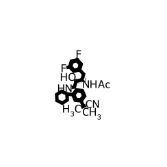 CC(=O)N[C@@H](Cc1cc(F)cc(F)c1)[C@H](O)CNC1(c2cccc(C(C)(C)C#N)c2)CCCCC1